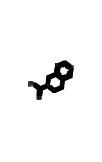 CC(C)C(=O)N1CCc2cncnc2C1